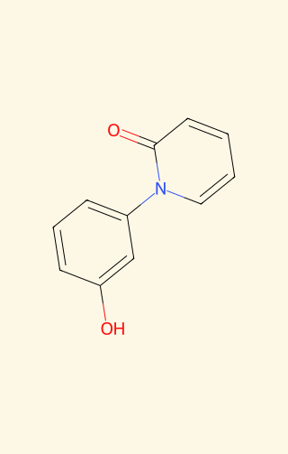 O=c1ccccn1-c1cccc(O)c1